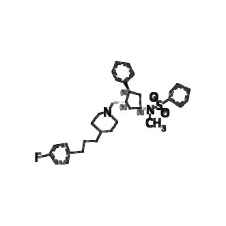 CN([C@@H]1C[C@H](CN2CCC(CCCc3ccc(F)cc3)CC2)[C@@H](c2ccccc2)C1)S(=O)(=O)c1ccccc1